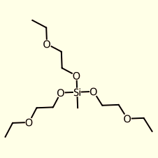 CCOCCO[Si](C)(OCCOCC)OCCOCC